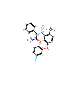 [CH2]c1ccc(Oc2cccc(F)c2)cc1N(C)[C@H](C(N)=O)c1ccccc1